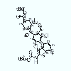 CC(C)(C)OC(=O)Nc1nc2c(-c3c(Cl)cc4c(c3Cl)COC[C@@H]3CN(C(=O)OC(C)(C)C)CCN3[S+]4[O-])ccc(F)c2s1